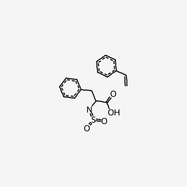 C=Cc1ccccc1.O=C(O)C(Cc1ccccc1)N=S(=O)=O